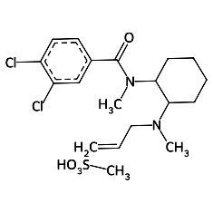 C=CCN(C)C1CCCCC1N(C)C(=O)c1ccc(Cl)c(Cl)c1.CS(=O)(=O)O